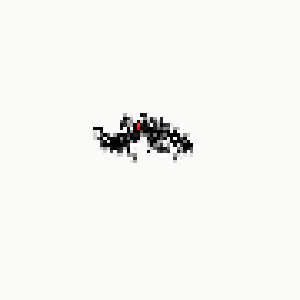 Cc1ncsc1-c1ccc(C(C)NC(=O)[C@@H]2C[C@@H](O)CN2C(=O)C(NC(=O)c2csc(N3CCN(c4cc(Cl)nnc4N)CC3)n2)C(C)(C)C)cc1